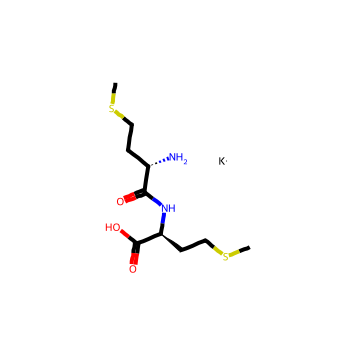 CSCC[C@H](NC(=O)[C@@H](N)CCSC)C(=O)O.[K]